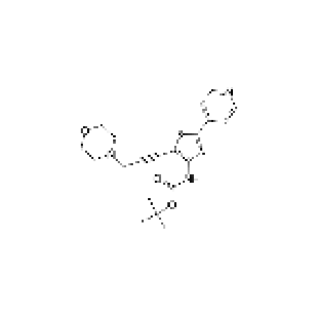 CC(C)(C)OC(=O)Nc1nc(-c2ccncc2)sc1C#CCN1CCOCC1